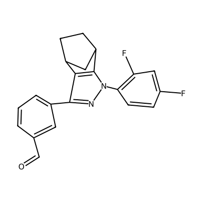 O=Cc1cccc(-c2nn(-c3ccc(F)cc3F)c3c2C2CCC3C2)c1